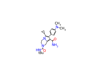 CN(C)c1ccc(-c2c(C(N)=O)c3n(c2C2CC2)CCN(C(=O)NC(C)(C)C)C3)cc1